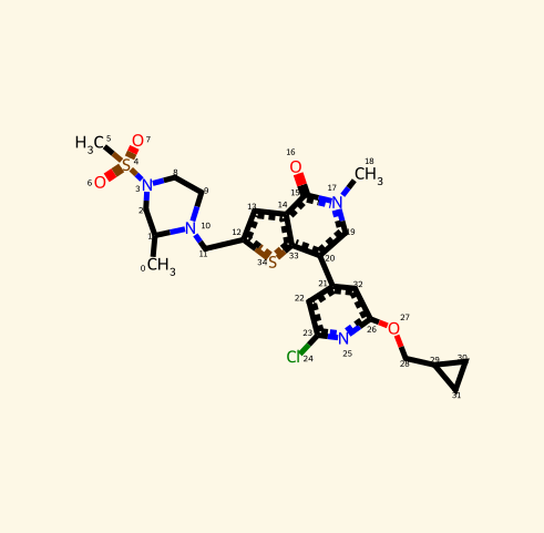 CC1CN(S(C)(=O)=O)CCN1Cc1cc2c(=O)n(C)cc(-c3cc(Cl)nc(OCC4CC4)c3)c2s1